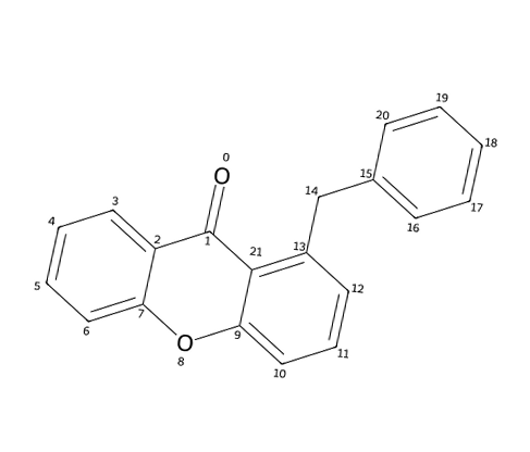 O=c1c2ccccc2oc2cccc(Cc3ccccc3)c12